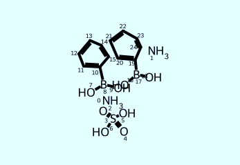 N.N.O=S(=O)(O)O.OB(O)c1ccccc1.OB(O)c1ccccc1